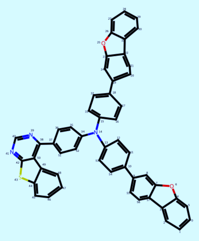 c1ccc2c(c1)oc1cc(-c3ccc(N(c4ccc(-c5ccc6c(c5)oc5ccccc56)cc4)c4ccc(-c5ncnc6sc7ccccc7c56)cc4)cc3)ccc12